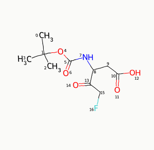 CC(C)(C)OC(=O)NC(CC(=O)O)C(=O)CF